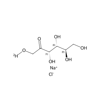 [2H]OCC(=O)[C@@H](O)[C@H](O)[C@H](O)CO.[Cl-].[Na+]